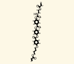 C=CC(=O)OCCCCOc1ccc(C(=O)Oc2ccc(OC(=O)c3ccc(OC(=O)NCCOC(=O)C=C)cc3)cc2)cc1